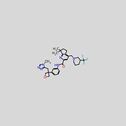 Cn1cnnc1CC1(c2cccc(NC(=O)c3cc(CN4CCCC(C(F)(F)F)C4)c4c(n3)C(C)(C)CC4)c2)COC1